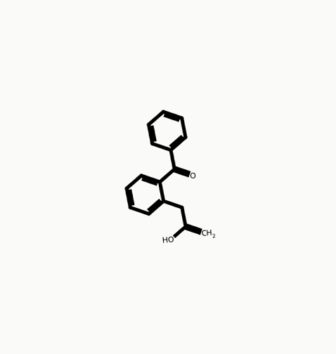 C=C(O)Cc1ccccc1C(=O)c1ccccc1